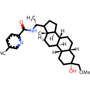 COC[C@@]1(O)CC[C@H]2[C@H](CC[C@@H]3[C@@H]2CC[C@]2(C)C([C@@H](C)NC(=O)c4ccc(C#N)cn4)CC[C@@H]32)C1